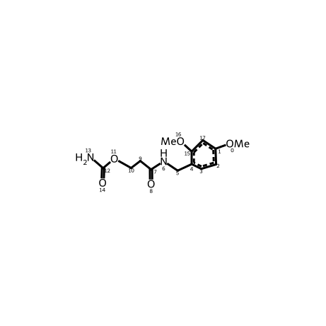 COc1ccc(CNC(=O)CCOC(N)=O)c(OC)c1